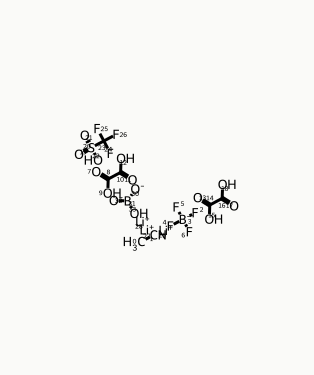 CC#N.F[B-](F)(F)F.O=C(O)C(=O)O.O=C(O)C(=O)O.O=S(=O)(O)C(F)(F)F.[Li+].[Li+].[Li+].[O-]B([O-])O